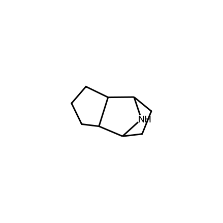 C1CC2C3CCC(N3)C2C1